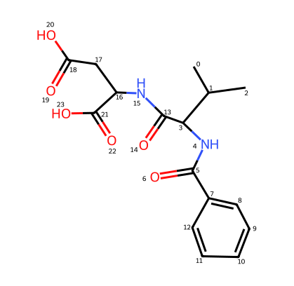 CC(C)C(NC(=O)c1ccccc1)C(=O)NC(CC(=O)O)C(=O)O